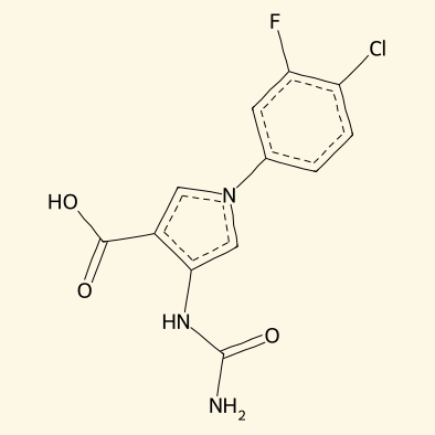 NC(=O)Nc1cn(-c2ccc(Cl)c(F)c2)cc1C(=O)O